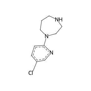 Clc1ccc(N2CCCNCC2)nc1